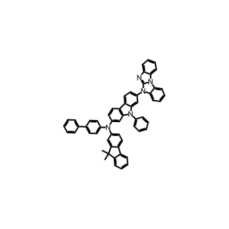 CC1(C)c2ccccc2-c2ccc(N(c3ccc(-c4ccccc4)cc3)c3ccc4c5ccc(-n6c7ccccc7n7c8ccccc8nc67)cc5n(-c5ccccc5)c4c3)cc21